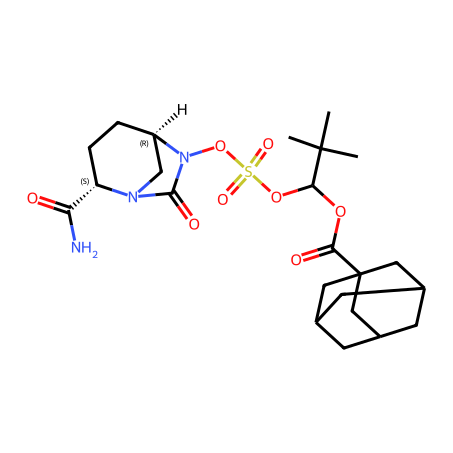 CC(C)(C)C(OC(=O)C12CC3CC(CC(C3)C1)C2)OS(=O)(=O)ON1C(=O)N2C[C@H]1CC[C@H]2C(N)=O